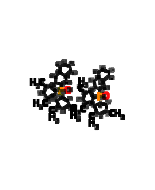 Cc1cc(C)cc(P(=O)(c2[c]c3ccccc3cc2)c2cc(C)cc(C)c2)c1.Cc1cc(C)cc(P(=O)(c2[c]c3ccccc3cc2)c2cc(C)cc(C)c2)c1